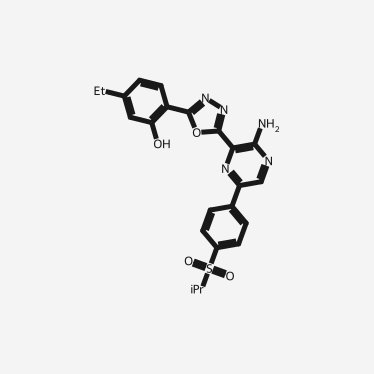 CCc1ccc(-c2nnc(-c3nc(-c4ccc(S(=O)(=O)C(C)C)cc4)cnc3N)o2)c(O)c1